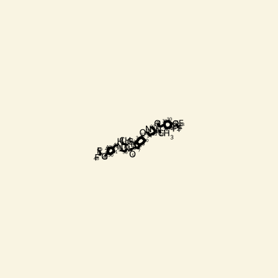 C[C@H]1CN(C(=O)c2cc3ccc(Oc4ccc(N(C)C(=O)c5ccc(OC(F)(F)F)cc5)cn4)cc3n2C)CCN1Cc1ccc(OC(F)F)cc1